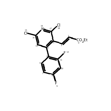 CCOC(=O)/C=C/c1c(-c2ccc(F)cc2F)cc(Cl)nc1Cl